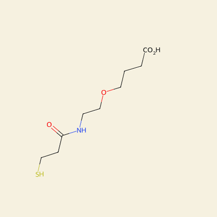 O=C(O)CCCOCCNC(=O)CCS